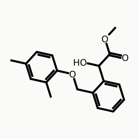 COC(=O)C(O)c1ccccc1COc1ccc(C)cc1C